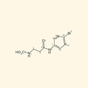 O=C(O)NCCC(=O)Nc1cnc(Br)nc1